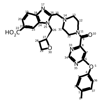 Cc1ccc(Oc2cc(C(=O)N3CCN(Cc4nc5ccc(C(=O)O)cc5n4C[C@@H]4CCO4)CC3)ncn2)cc1